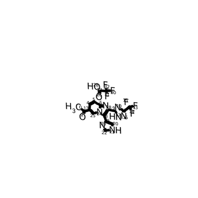 CC(=O)c1ccc2nc(-c3nc(C(F)(F)F)n[nH]3)c(-c3c[nH]cn3)n2c1.O=C(O)C(F)(F)F